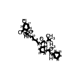 CC(C)NC(=O)N(CCCCNS(=O)(=O)c1ccc(Cl)cc1Cl)[C@H]1CCCN(C(=O)Nc2ccccc2)C1